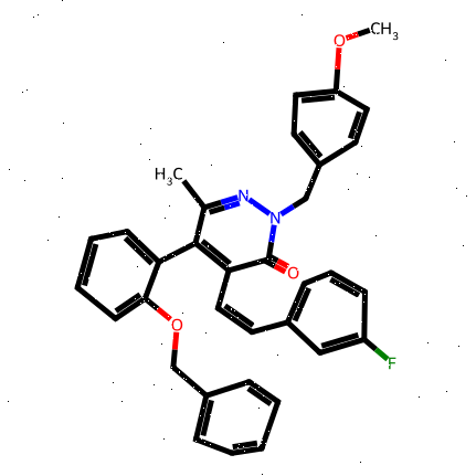 COc1ccc(Cn2nc(C)c(-c3ccccc3OCc3ccccc3)c(C=Cc3cccc(F)c3)c2=O)cc1